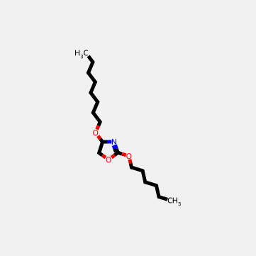 CCCCCCCCOC1COC(OCCCCCC)=N1